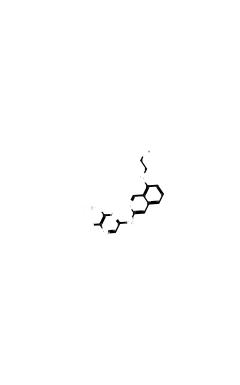 COc1nc(Nc2cc3cccc(NCCO)c3cn2)cnc1C